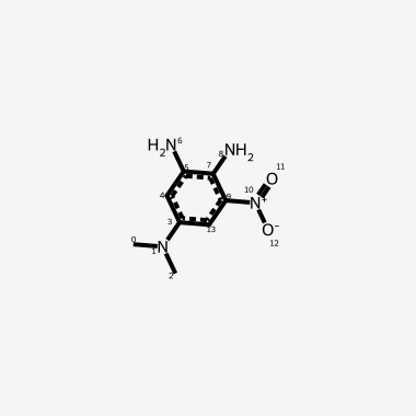 CN(C)c1cc(N)c(N)c([N+](=O)[O-])c1